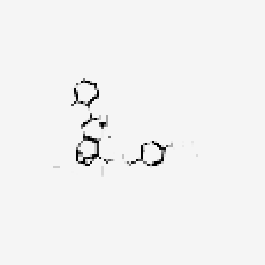 CC1(C)C2CCC1(COCc1ccc(C(=O)O)cc1)c1nnc(-c3ccccc3F)cc12